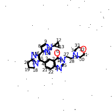 O=c1c2cc(-c3c(-c4ccn(C5CC5)n4)nc4n3CCC4)ccc2ncn1CCN1CCOCC1